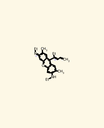 C=C/C=C(\CC)c1c2cc(C)/c(=N\CC)cc-2oc2cc(NCC)c(C)cc12